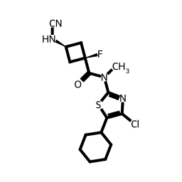 CN(c1nc(Cl)c(C2CCCCC2)s1)C(=O)[C@]1(F)C[C@@H](NC#N)C1